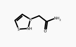 NC(=O)CN1C=CSN1